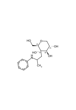 CC(C[C@]1(O)[C@H](O)[C@@H](O)CO[C@@H]1CO)Nc1ccccc1